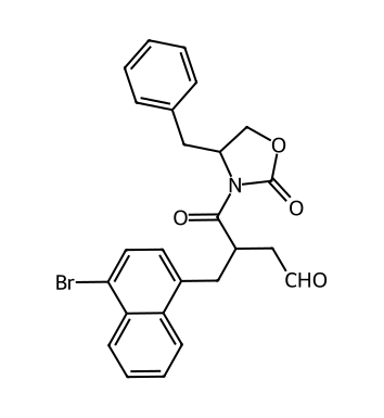 O=CCC(Cc1ccc(Br)c2ccccc12)C(=O)N1C(=O)OCC1Cc1ccccc1